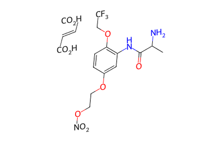 CC(N)C(=O)Nc1cc(OCCO[N+](=O)[O-])ccc1OCC(F)(F)F.O=C(O)C=CC(=O)O